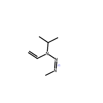 C=CN(/N=N\C)C(C)C